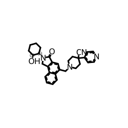 N#CC1(c2ccncc2)CCN(Cc2cc3c(c4ccccc24)CN([C@H]2CCCC[C@@H]2O)C3=O)CC1